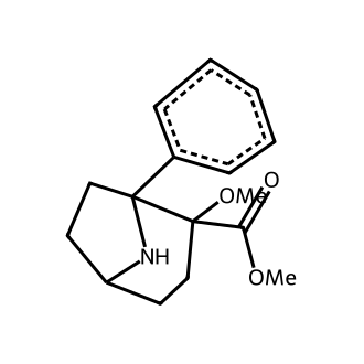 COC(=O)C1(OC)CCC2CCC1(c1ccccc1)N2